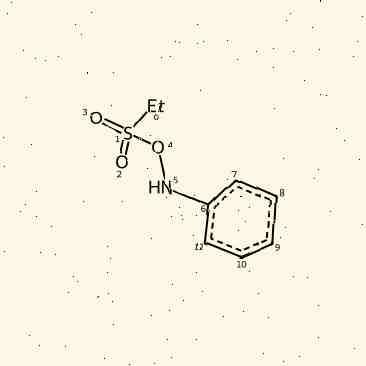 CCS(=O)(=O)ONc1ccccc1